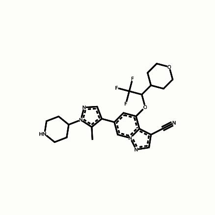 Cc1c(-c2cc(OC(C3CCOCC3)C(F)(F)F)c3c(C#N)cnn3c2)cnn1C1CCNCC1